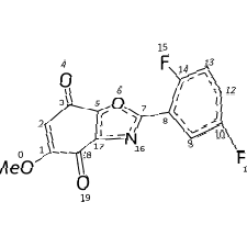 COC1=CC(=O)c2oc(-c3cc(F)ccc3F)nc2C1=O